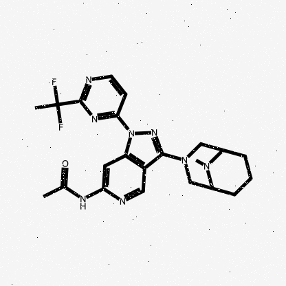 CC(=O)Nc1cc2c(cn1)c(N1CC3CCCC(C1)N3C)nn2-c1ccnc(C(C)(F)F)n1